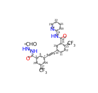 O=CNNC(=O)c1cc(C#Cc2ccc(C(F)(F)F)c(C(=O)Nc3ccccn3)c2)cc(C(F)(F)F)c1